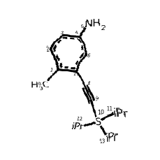 Cc1ccc(N)cc1C#CS(C(C)C)(C(C)C)C(C)C